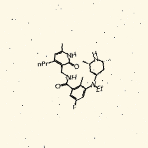 CCCc1cc(C)[nH]c(=O)c1CNC(=O)c1cc(F)cc(N(CC)C2C[C@@H](C)N[C@H](C)C2)c1C